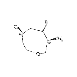 C[C@H]1COCC[C@@H](Cl)CC1F